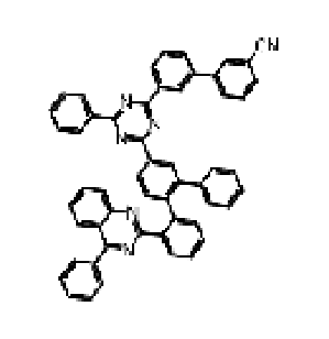 N#Cc1cccc(-c2cccc(-c3nc(-c4ccccc4)nc(-c4ccc(-c5ccccc5-c5nc(-c6ccccc6)c6ccccc6n5)c(-c5ccccc5)c4)n3)c2)c1